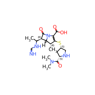 CC(NC=N)[C@H]1C(=O)N2C(C(=O)O)=C(S[C@@H]3CN[C@H](C(=O)N(C)C)C3)[C@H](C)[C@H]12